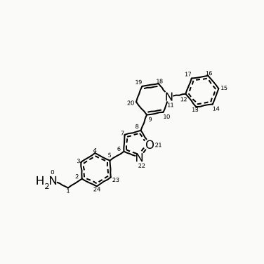 NCc1ccc(-c2cc(C3=CN(c4[c]cccc4)C=CC3)on2)cc1